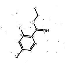 CCOC(=N)c1ccc(Cl)cc1F